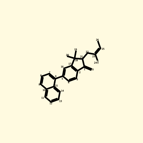 C=C1c2ccc(-c3cccc4ccccc34)cc2C(C)(C)C1C/C(I)=C\C